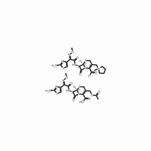 CO/N=C(\C(=O)N[C@@H]1C(=O)N2C(C(=O)O)=C(COC(C)=O)CS[C@H]12)c1csc(N)n1.CO/N=C(\C(=O)N[C@@H]1C(=O)N2C(C(=O)[O-])=C(C[N+]3(C)CCCC3)CS[C@H]12)c1csc(N)n1